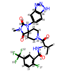 CC(C)[C@@H](NC(=O)c1cc(C(F)(F)F)ccc1F)C(=O)N1CCC2(CC1)C(=O)N(C)C(=O)N2c1ccc2[nH]nnc2c1